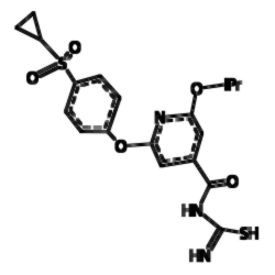 CC(C)Oc1cc(C(=O)NC(=N)S)cc(Oc2ccc(S(=O)(=O)C3CC3)cc2)n1